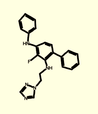 Fc1c(Nc2ccccc2)ccc(-c2ccccc2)c1NCCn1cncn1